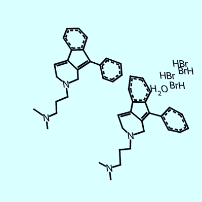 Br.Br.Br.Br.CN(C)CCCN1CC=C2C(=C(c3ccccc3)c3ccccc32)C1.CN(C)CCCN1CC=C2C(=C(c3ccccc3)c3ccccc32)C1.O